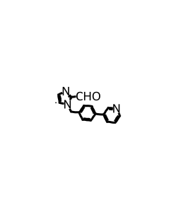 O=Cc1nc[c]n1Cc1ccc(-c2cccnc2)cc1